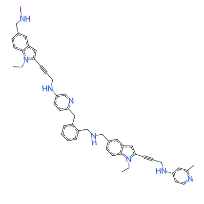 CCn1c(C#CCNc2ccc(Cc3ccccc3CNCc3ccc4c(c3)cc(C#CCNc3ccnc(C)c3)n4CC)nc2)cc2cc(CNI)ccc21